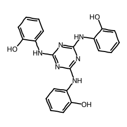 Oc1ccccc1Nc1nc(Nc2ccccc2O)nc(Nc2ccccc2O)n1